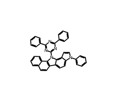 c1ccc(-c2nc(-c3ccccc3)nc(-n3c4c5ccccc5ccc4c4ccc5c(ccn5-c5ccccc5)c43)n2)cc1